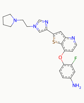 Nc1ccc(Oc2ccnc3cc(-c4cn(CCN5CCCC5)cn4)sc23)c(F)c1